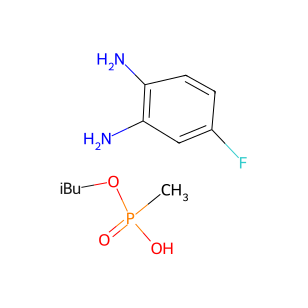 CCC(C)OP(C)(=O)O.Nc1ccc(F)cc1N